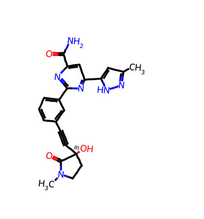 Cc1cc(-c2cc(C(N)=O)nc(-c3cccc(C#C[C@]4(O)CCN(C)C4=O)c3)n2)[nH]n1